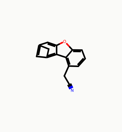 N#CCc1cccc2oc3cc4cc(c3c12)C4